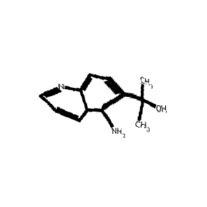 CC(C)(O)C1=CC=C2N=CC=CC2C1N